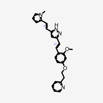 COc1cc(OCCc2ccccn2)ccc1/C=C/c1cc(/C=C/c2cccn2C)[nH]n1